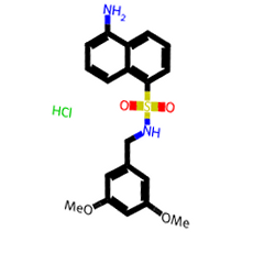 COc1cc(CNS(=O)(=O)c2cccc3c(N)cccc23)cc(OC)c1.Cl